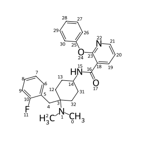 CN(C)C1(Cc2ccccc2F)CCC(NC(=O)c2cccnc2Oc2ccccc2)CC1